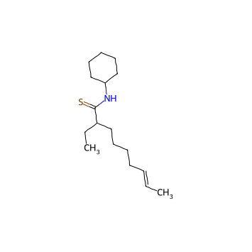 CC=CCCCCC(CC)C(=S)NC1CCCCC1